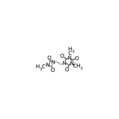 CN1C(=O)N(CCn2c(=O)n(C)c(=O)n(C)c2=O)C1=O